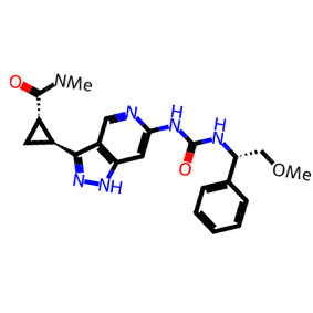 CNC(=O)[C@H]1C[C@@H]1c1n[nH]c2cc(NC(=O)N[C@H](COC)c3ccccc3)ncc12